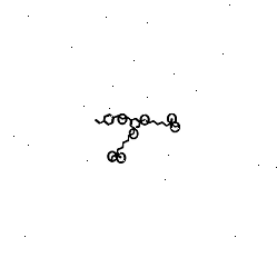 C=Cc1ccc(COCc2cc(OCCCCCC(=O)OC)cc(OCCCCCC(=O)OC)c2)cc1